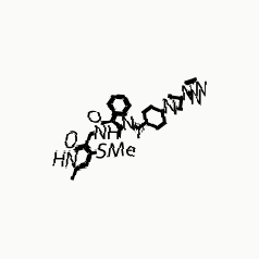 CSc1cc(C)[nH]c(=O)c1CNC(=O)c1c(C)n([C@H](C)C2CCC(N3CC(n4ccnn4)C3)CC2)c2ccccc12